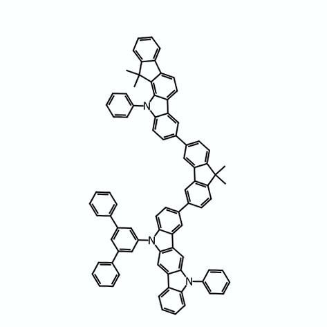 CC1(C)c2ccc(-c3ccc4c(c3)c3cc5c(cc3n4-c3cc(-c4ccccc4)cc(-c4ccccc4)c3)c3ccccc3n5-c3ccccc3)cc2-c2cc(-c3ccc4c(c3)c3ccc5c(c3n4-c3ccccc3)C(C)(C)c3ccccc3-5)ccc21